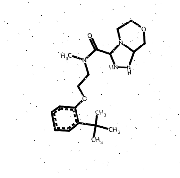 CN(CCOc1ccccc1C(C)(C)C)C(=O)C1NNC2COCCN21